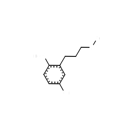 CCOCCCc1cc(C)ccc1S(=O)(=O)O